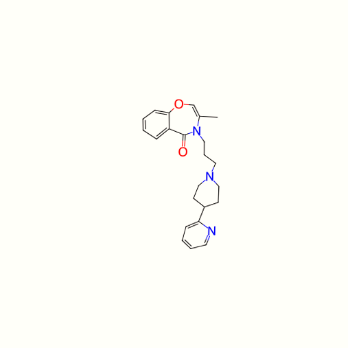 CC1=COc2ccccc2C(=O)N1CCCN1CCC(c2ccccn2)CC1